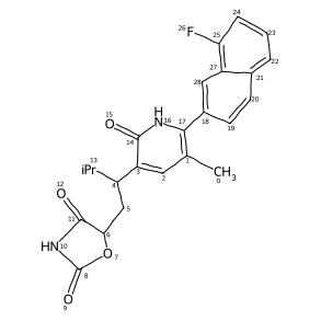 Cc1cc(C(CC2OC(=O)NC2=O)C(C)C)c(=O)[nH]c1-c1ccc2cccc(F)c2c1